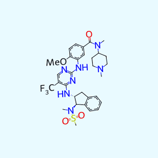 COc1ccc(C(=O)N(C)C2CCN(C)CC2)cc1Nc1ncc(C(F)(F)F)c(N[C@@H]2Cc3ccccc3[C@H]2N(C)S(C)(=O)=O)n1